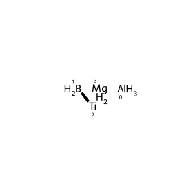 [AlH3].[BH2][Ti].[MgH2]